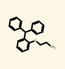 CCCOc1ccccc1[C](c1ccccc1)c1ccccc1